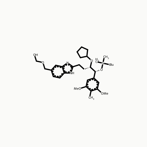 COc1cc([C@@H](O[Si](C)(C)C(C)(C)C)[C@H](CCc2nc3cc(COCO)ccc3[nH]2)OC2CCCC2)cc(OC)c1C